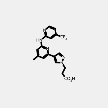 Cc1cc(Nc2cc(C(F)(F)F)ccn2)nc(-c2cnn(CCC(=O)O)c2)c1